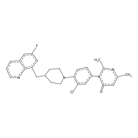 Cc1cc(=O)n(-c2ccc(N3CCC(Cc4cc(F)cc5cccnc45)CC3)c(Cl)c2)c(C)n1